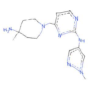 Cn1cc(Nc2nccc(N3CCC(C)(N)CC3)n2)cn1